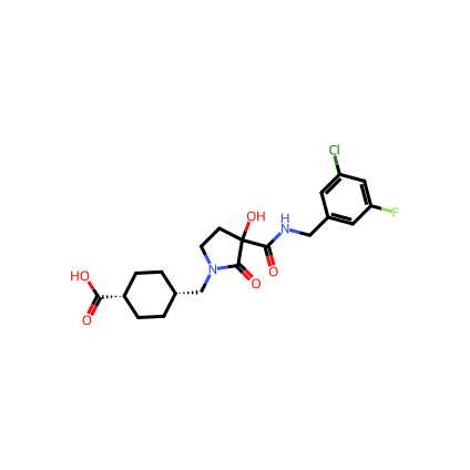 O=C(NCc1cc(F)cc(Cl)c1)C1(O)CCN(C[C@H]2CC[C@@H](C(=O)O)CC2)C1=O